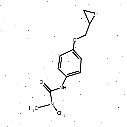 CN(C)C(=O)Nc1ccc(OCC2CO2)cc1